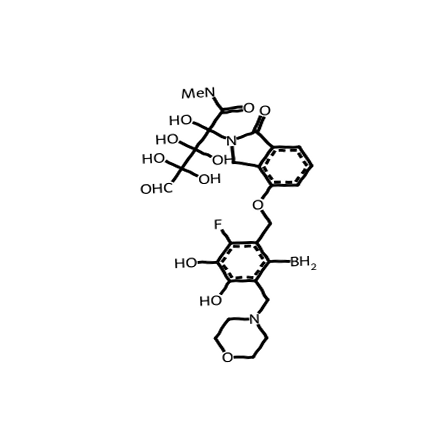 Bc1c(CN2CCOCC2)c(O)c(O)c(F)c1COc1cccc2c1CN(C(O)(C(=O)NC)C(O)(O)C(O)(O)C=O)C2=O